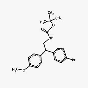 COc1ccc(C(CNC(=O)OC(C)(C)C)c2ccc(Br)cc2)cc1